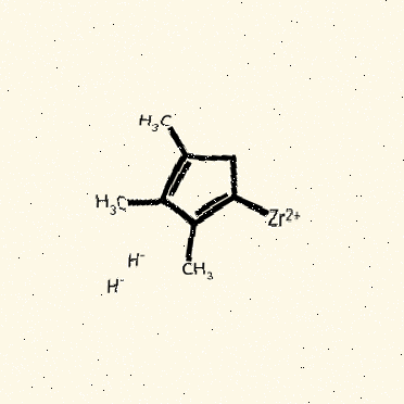 CC1=C(C)C(C)=[C]([Zr+2])C1.[H-].[H-]